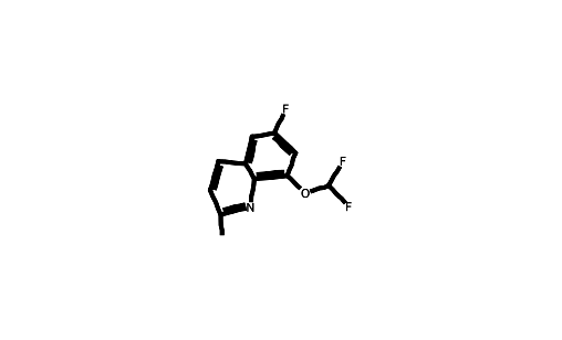 Cc1ccc2cc(F)cc(OC(F)F)c2n1